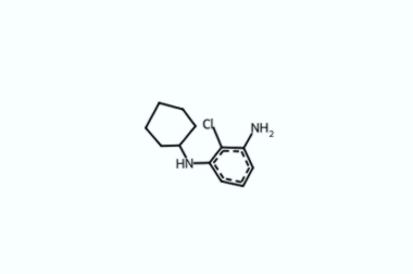 Nc1cccc(NC2CCCCC2)c1Cl